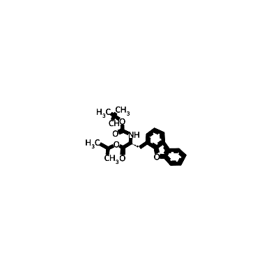 CC(C)OC(=O)[C@@H](Cc1cccc2c1oc1ccccc12)NC(=O)OC(C)(C)C